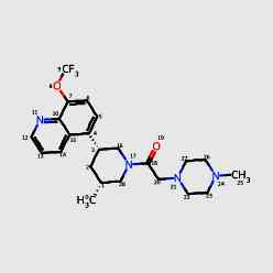 C[C@@H]1C[C@H](c2ccc(OC(F)(F)F)c3ncccc23)CN(C(=O)CN2CCN(C)CC2)C1